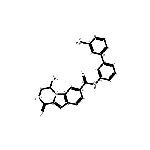 CC1CNC(=O)c2cc3ccc(C(=O)Nc4cccc(-c5cccc(N)c5)c4)cc3n21